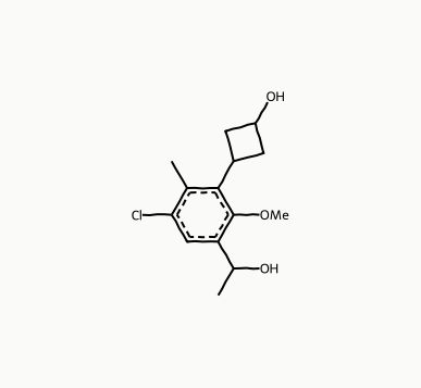 COc1c(C(C)O)cc(Cl)c(C)c1C1CC(O)C1